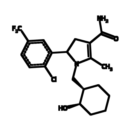 CC1=C(C(N)=O)CC(c2cc(C(F)(F)F)ccc2Cl)N1C[C@H]1CCCC[C@H]1O